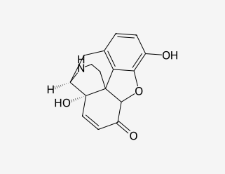 O=C1C=C[C@@]2(O)[C@H]3Cc4ccc(O)c5c4C2(CCN3)C1O5